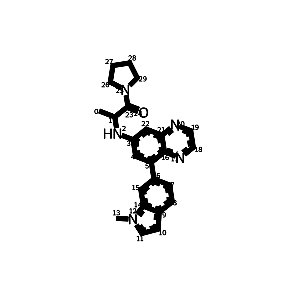 CC(Nc1cc(-c2ccc3ccn(C)c3c2)c2nccnc2c1)C(=O)N1CCCC1